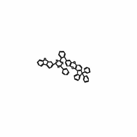 c1ccc(-c2nc(-c3ccc4c(c3)oc3ccccc34)nc(-c3ccccc3-c3ccc4c(c3)Oc3ccc5c(c3O4)-c3ccccc3C5(c3ccccc3)c3ccccc3)n2)cc1